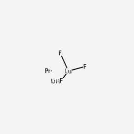 [F][Lu]([F])[F].[LiH].[Pr]